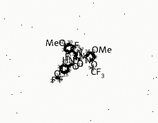 COc1cc(OCC(F)(F)F)nc(-n2c(=O)c(NC(=O)c3ccc(OC(F)F)cc3)c(-c3c(F)cc(OC)cc3F)n2C)c1